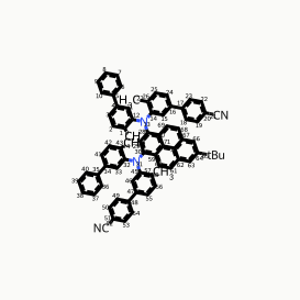 Cc1ccc(-c2ccccc2)cc1N(c1cc(-c2ccc(C#N)cc2)ccc1C)c1cc(N(c2cc(-c3ccccc3)ccc2C)c2cc(-c3ccc(C#N)cc3)ccc2C)c2ccc3cc(C(C)(C)C)cc4ccc1c2c43